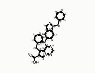 O=C(O)c1cn2ncnc(Nc3ccc4c(cnn4Cc4ccccc4)c3)c2c1Cc1ccccc1